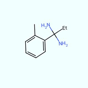 CCC(N)(N)c1ccccc1C